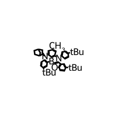 Cc1cc2c3c(c1)N(C1CC4CCC1C4)c1ccc(C(C)(C)C)cc1B3c1oc3ccc(C(C)(C)C)cc3c1N2c1ccc(C(C)(C)C)cc1